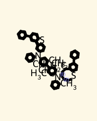 C=C1/C=C(N(c2cc(C)c(-c3c(C)cc(N(c4ccc5sc6ccc(-c7ccccc7)cc6c5c4)c4ccccc4C)cc3C)c(C)c2)c2ccccc2C)\C=C/CSc2ccc(-c3ccccc3)cc21